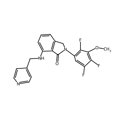 COc1c(F)c(F)cc(N2Cc3cccc(NCc4ccncc4)c3C2=O)c1F